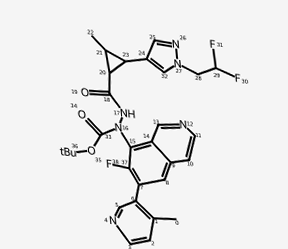 Cc1ccncc1-c1cc2ccncc2c(N(NC(=O)C2C(C)C2c2cnn(CC(F)F)c2)C(=O)OC(C)(C)C)c1F